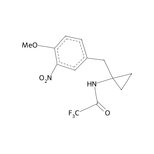 COc1ccc(CC2(NC(=O)C(F)(F)F)CC2)cc1[N+](=O)[O-]